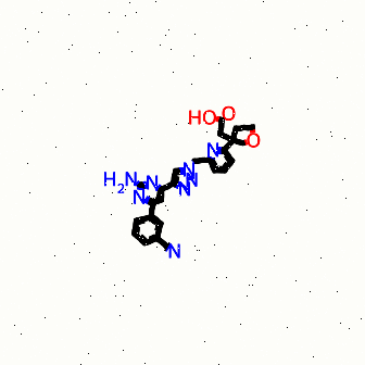 N#Cc1cccc(-c2cc(-c3cn(Cc4cccc(C5(CC(=O)O)CCOC5)n4)nn3)nc(N)n2)c1